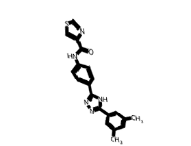 Cc1cc(C)cc(-c2nnc(-c3ccc(NC(=O)c4cscn4)cc3)[nH]2)c1